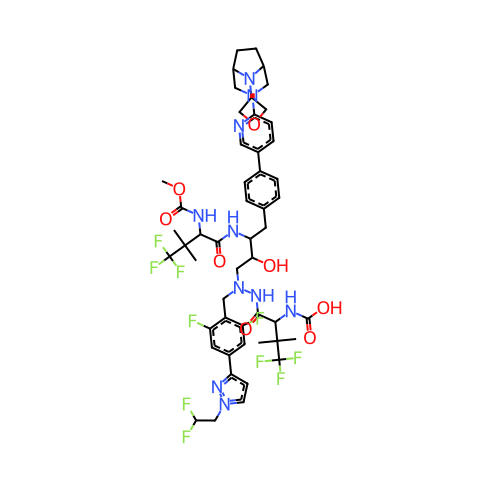 COC(=O)NC(C(=O)NC(Cc1ccc(-c2ccc(N3CC4CCC(C3)N4C3COC3)nc2)cc1)C(O)CN(Cc1c(F)cc(-c2ccn(CC(F)F)n2)cc1F)NC(=O)C(NC(=O)O)C(C)(C)C(F)(F)F)C(C)(C)C(F)(F)F